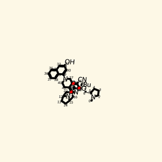 CN1CCC[C@H]1COc1nc(N2C3CCC2CN(C(=O)OC(C)(C)C)C3)c2c(c1C#N)CN(c1cc(O)cc3ccccc13)CC2